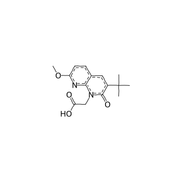 COc1ccc2cc(C(C)(C)C)c(=O)n(CC(=O)O)c2n1